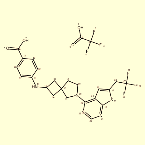 O=C(O)C(F)(F)F.O=C(O)c1ccc(NC2CC3(CCN(c4ncnc5sc(CC(F)(F)F)cc45)C3)C2)cc1